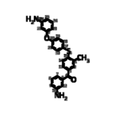 Cc1cc(C(=O)c2cccc(N)c2)ccc1Sc1ccc(Oc2cccc(N)c2)cc1